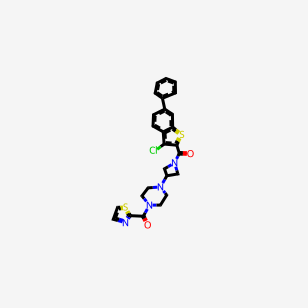 O=C(c1nccs1)N1CCN(C2CN(C(=O)c3sc4cc(-c5ccccc5)ccc4c3Cl)C2)CC1